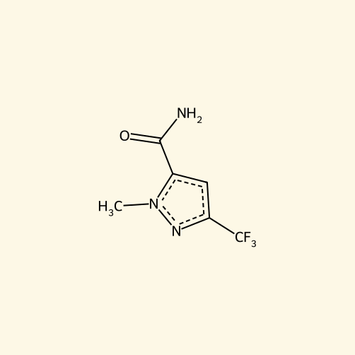 Cn1nc(C(F)(F)F)cc1C(N)=O